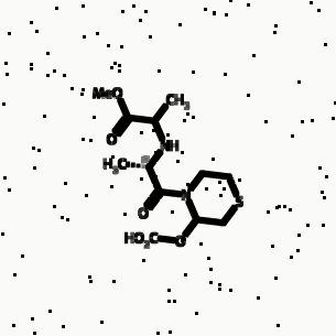 COC(=O)C(C)N[C@@H](C)C(=O)N1CCSCC1OC(=O)O